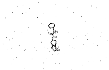 O=C(NSC1CCc2[nH]cnc2C1)NC1CCCCC1